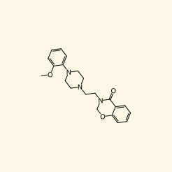 COc1ccccc1N1CCN(CCN2COc3ccccc3C2=O)CC1